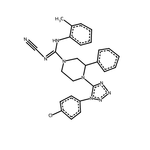 Cc1ccccc1N/C(=N\C#N)N1CCN(c2nnnn2-c2ccc(Cl)cc2)C(c2ccccc2)C1